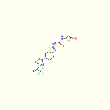 O=C1CC(NC(=O)Nc2nc3c(s2)CN(c2nc(C4(C(F)(F)F)CC4)no2)CC3)C1